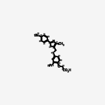 CCCc1cc(SCc2sc(-c3ccc(C(C)(C)C)cc3)nc2C)ccc1OCC(=O)O